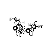 CC(C)OC(=O)[C@H](C)N[P@](OCn1c(=O)c(C#N)nn(-c2cc(Cl)c(Oc3cc(C(C)C)c(=O)[nH]n3)c(Cl)c2)c1=O)Oc1ccccc1